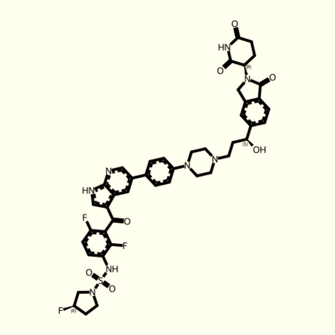 O=C1CC[C@@H](N2Cc3cc([C@@H](O)CCN4CCN(c5ccc(-c6cnc7[nH]cc(C(=O)c8c(F)ccc(NS(=O)(=O)N9CC[C@@H](F)C9)c8F)c7c6)cc5)CC4)ccc3C2=O)C(=O)N1